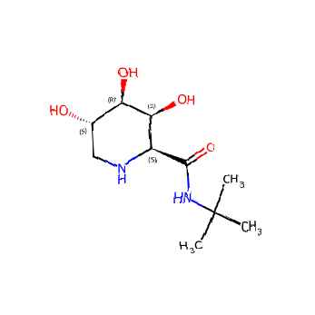 CC(C)(C)NC(=O)[C@H]1NC[C@H](O)[C@@H](O)[C@H]1O